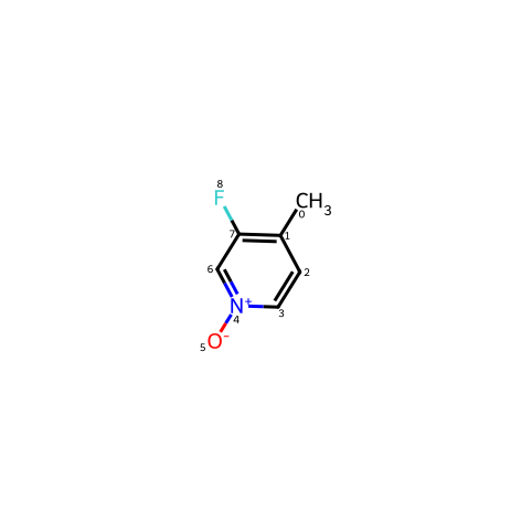 Cc1cc[n+]([O-])cc1F